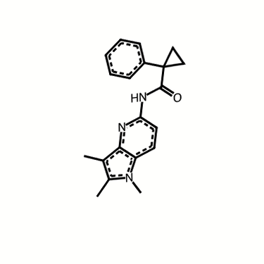 Cc1c(C)n(C)c2ccc(NC(=O)C3(c4ccccc4)CC3)nc12